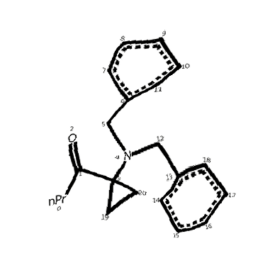 CCCC(=O)C1(N(Cc2ccccc2)Cc2ccccc2)CC1